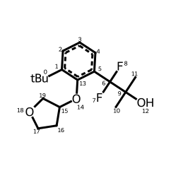 CC(C)(C)c1cccc(C(F)(F)C(C)(C)O)c1OC1CCOC1